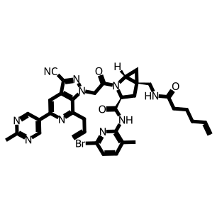 C=CCCCC(=O)NC[C@@]12C[C@@H](C(=O)Nc3nc(Br)ccc3C)N(C(=O)Cn3nc(C#N)c4cc(-c5cnc(C)nc5)nc(CC=C)c43)[C@@H]1C2